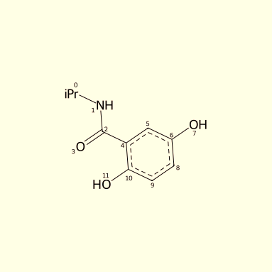 CC(C)NC(=O)c1cc(O)ccc1O